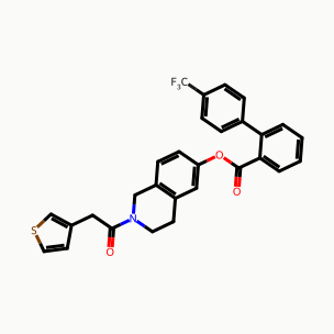 O=C(Oc1ccc2c(c1)CCN(C(=O)Cc1ccsc1)C2)c1ccccc1-c1ccc(C(F)(F)F)cc1